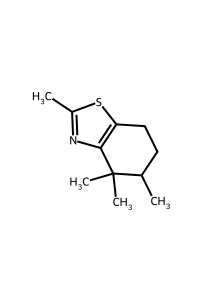 Cc1nc2c(s1)CCC(C)C2(C)C